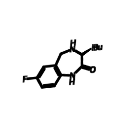 CC[C@H](C)C1NCc2cc(F)ccc2NC1=O